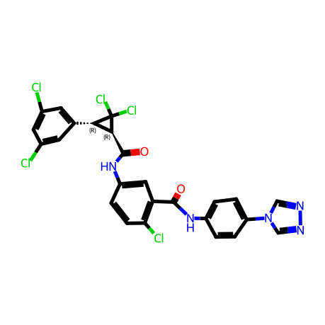 O=C(Nc1ccc(-n2cnnc2)cc1)c1cc(NC(=O)[C@H]2[C@H](c3cc(Cl)cc(Cl)c3)C2(Cl)Cl)ccc1Cl